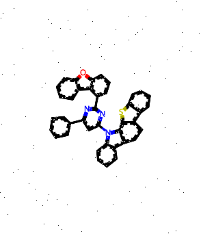 c1ccc(-c2cc(-n3c4ccccc4c4ccc5c6ccccc6sc5c43)nc(-c3cccc4oc5ccccc5c34)n2)cc1